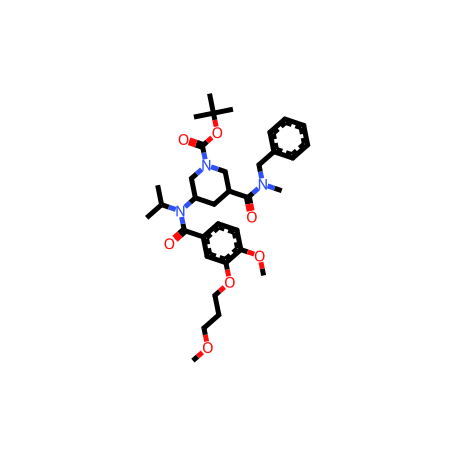 COCCCOc1cc(C(=O)N(C(C)C)C2CC(C(=O)N(C)Cc3ccccc3)CN(C(=O)OC(C)(C)C)C2)ccc1OC